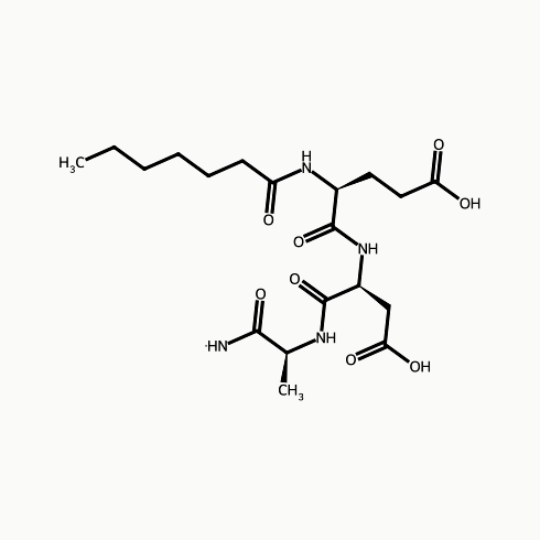 CCCCCCC(=O)N[C@@H](CCC(=O)O)C(=O)N[C@@H](CC(=O)O)C(=O)N[C@@H](C)C([NH])=O